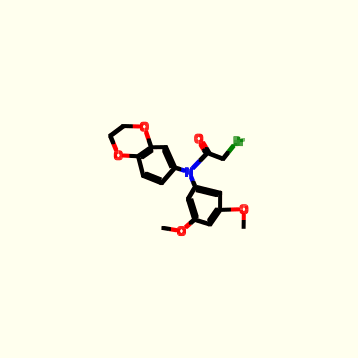 COc1cc(OC)cc(N(C(=O)CBr)c2ccc3c(c2)OCCO3)c1